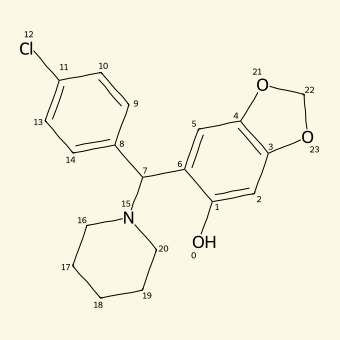 Oc1cc2c(cc1C(c1ccc(Cl)cc1)N1CCCCC1)OCO2